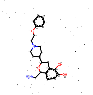 NCC1OC(C2CCN(CCOc3ccccc3)CC2)Cc2c1ccc(O)c2O